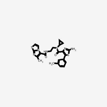 Cc1cccc(-c2sc(N)nc2C(=O)N(CCNC(=O)c2c(C)nc3sccn23)C2CC2)c1